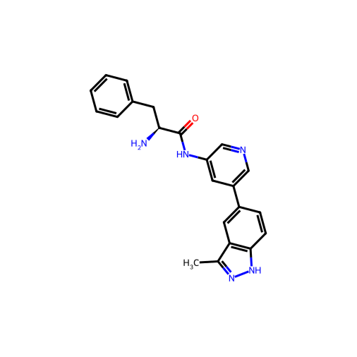 Cc1n[nH]c2ccc(-c3cncc(NC(=O)[C@@H](N)Cc4ccccc4)c3)cc12